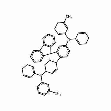 CC1=CC(N(C2=CCCC=C2)c2ccc3c(c2)C2(c4ccccc4-c4ccccc42)C2CC(N(C4=CCCC=C4)c4cccc(C)c4)C=CC32)=CCC1